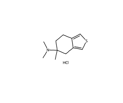 CN(C)C1(C)CCc2cscc2C1.Cl